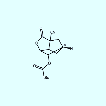 CC(C)(C)C(=O)OC1C2OC(=O)C3(C#N)C[C@@H]1CC23